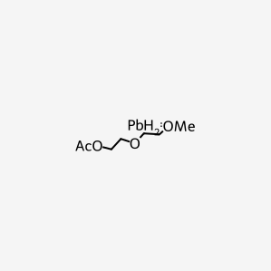 COCCOCCOC(C)=O.[PbH2]